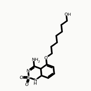 NC1=NS(=O)(=O)NC2C=CC=C(OCCCCCCCO)C12